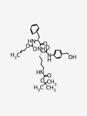 C=CCOC(=O)N[C@@H](Cc1ccccc1)C(=O)N[C@@H](CCCCNC(=O)OC(C)(C)C)C(=O)Nc1ccc(CO)cc1